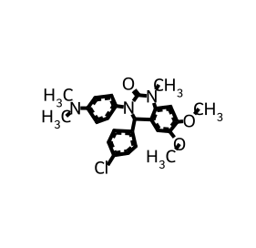 COc1cc2c(cc1OC)N(C)C(=O)N(c1ccc(N(C)C)cc1)C2c1ccc(Cl)cc1